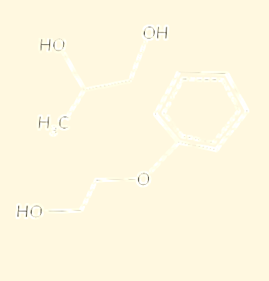 CC(O)CO.OCCOc1ccccc1